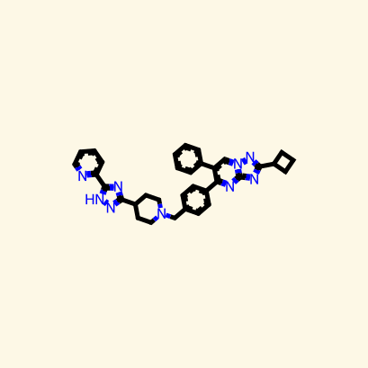 c1ccc(-c2cn3nc(C4CCC4)nc3nc2-c2ccc(CN3CCC(c4n[nH]c(-c5ccccn5)n4)CC3)cc2)cc1